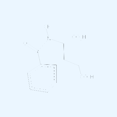 O=C(O)CC[C@@H](C(=O)O)N(C(=O)c1ccccc1)C(F)(F)F